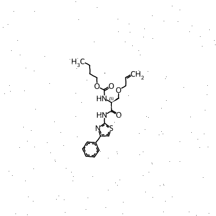 C=CCOC[C@H](NC(=O)OCCCC)C(=O)Nc1nc(-c2ccccc2)cs1